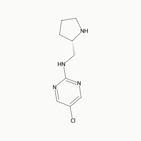 Clc1cnc(NC[C@@H]2CCCN2)nc1